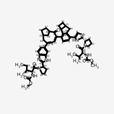 C=C1/C(c2ccc(-c3cnc([C@@H]4CCCN4C(=O)[C@@H](NC(=O)OC)C(C)C)[nH]3)c3c2C2CCC2C3)=C\C=C(\c2ccc3nc(C4CCCN4C(=O)[C@@H](NC(=O)OC)C(C)CC)[nH]c3c2)CC2CCC1C2